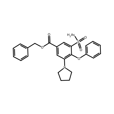 O=C(OCc1ccccc1)c1cc(N2CCCC2)c(Oc2ccccc2)c(S(=O)(=O)[AsH2])c1